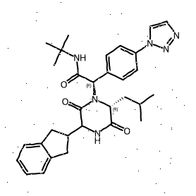 CC(C)C[C@@H]1C(=O)NC(C2Cc3ccccc3C2)C(=O)N1[C@@H](C(=O)NC(C)(C)C)c1ccc(-n2ccnn2)cc1